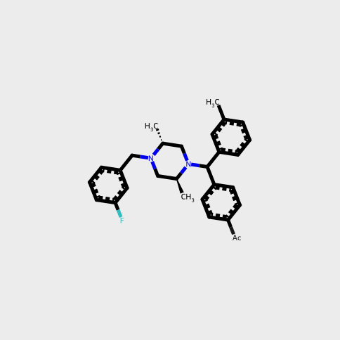 CC(=O)c1ccc(C(c2cccc(C)c2)N2C[C@@H](C)N(Cc3cccc(F)c3)C[C@@H]2C)cc1